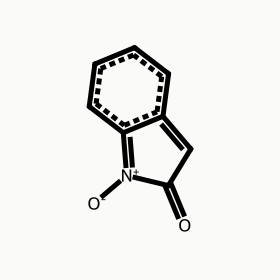 O=C1C=c2ccccc2=[N+]1[O-]